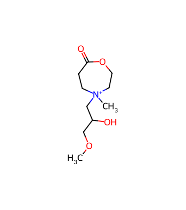 COCC(O)C[N+]1(C)CCOC(=O)CC1